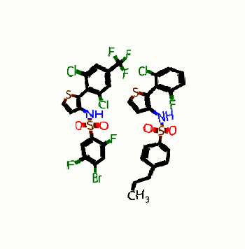 CCCc1ccc(S(=O)(=O)Nc2ccsc2-c2c(F)cccc2Cl)cc1.O=S(=O)(Nc1ccsc1-c1c(Cl)cc(C(F)(F)F)cc1Cl)c1cc(F)c(Br)cc1F